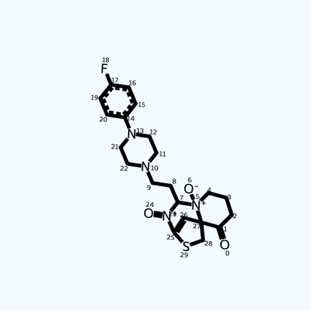 O=C1CCC[N+]2([O-])C(CCN3CCN(c4ccc(F)cc4)CC3)[N+](=O)C3=CC12CS3